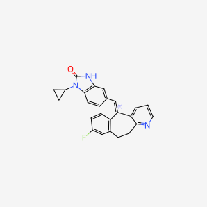 O=c1[nH]c2cc(/C=C3\c4ccc(F)cc4CCc4ncccc43)ccc2n1C1CC1